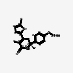 CCCCCCOc1ccc([C@]2(C)CC(c3ccc(C)s3)=C(C)C(=O)N2)cc1